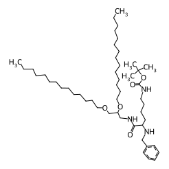 CCCCCCCCCCCCCCOCC(CNC(=O)C(CCCCNC(=O)OC(C)(C)C)NCc1ccccc1)OCCCCCCCCCCCCCC